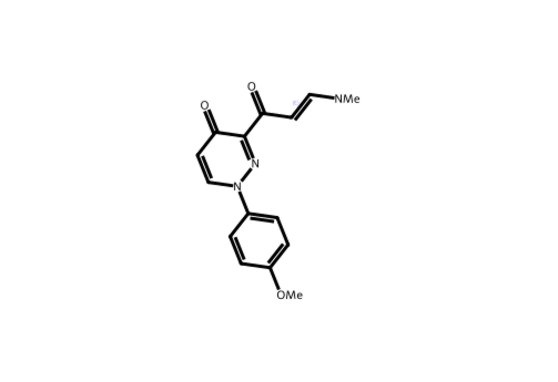 CN/C=C/C(=O)c1nn(-c2ccc(OC)cc2)ccc1=O